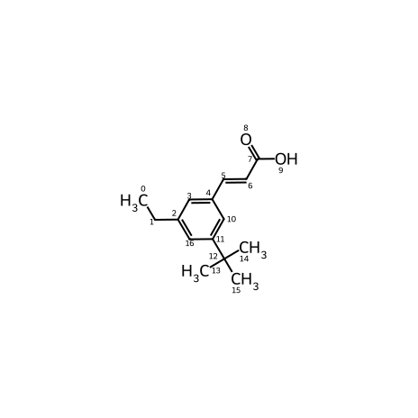 CCc1cc(/C=C/C(=O)O)cc(C(C)(C)C)c1